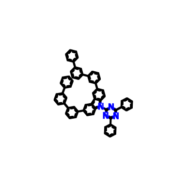 c1ccc(-c2cccc(-c3cccc(-c4ccc5c(c4)c4cc(-c6cccc(-c7cccc(-c8ccccc8)c7)c6)ccc4n5-c4nc(-c5ccccc5)nc(-c5ccccc5)n4)c3)c2)cc1